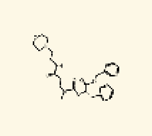 CN(CCC(=O)NCCN1CCOCC1)C(=O)O[C@@H](Cc1ccccc1)C(=O)OCc1ccccc1